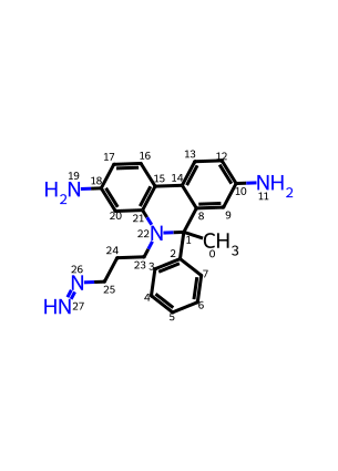 CC1(c2ccccc2)c2cc(N)ccc2-c2ccc(N)cc2N1CCCN=N